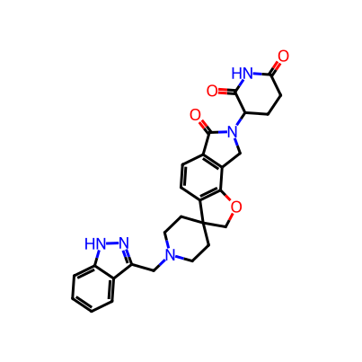 O=C1CCC(N2Cc3c(ccc4c3OCC43CCN(Cc4n[nH]c5ccccc45)CC3)C2=O)C(=O)N1